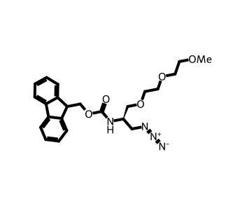 COCCOCCOC[C@@H](CN=[N+]=[N-])NC(=O)OCC1c2ccccc2-c2ccccc21